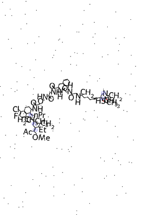 C=CC(CC)C(/C=C(\C)C(=C)/C(CCC)=C1\c2c(C)cc(F)c(Cl)c2CCC1NC(=O)COCNC(=O)CNC(=O)C(Cc1ccccc1)NC(=O)CNC(=O)CNC(=C)CCCC#CC(/C=N\C(=C)N(C)S)=C/C)=C(\COC)C(C)=O